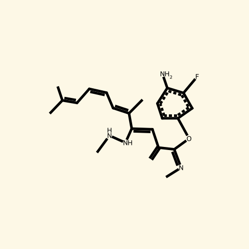 C=C(/C=C(NNC)/C(C)=C/C=C\C=C(C)C)/C(=N\C)Oc1ccc(N)c(F)c1